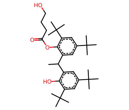 CC(c1cc(C(C)(C)C)cc(C(C)(C)C)c1O)c1cc(C(C)(C)C)cc(C(C)(C)C)c1OC(=O)CCCO